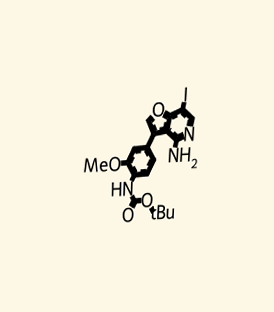 COc1cc(-c2coc3c(I)cnc(N)c23)ccc1NC(=O)OC(C)(C)C